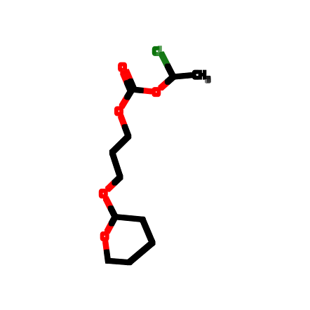 CC(Cl)OC(=O)OCCCOC1CCCCO1